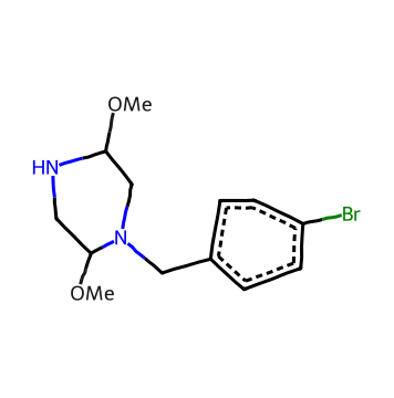 COC1CN(Cc2ccc(Br)cc2)C(OC)CN1